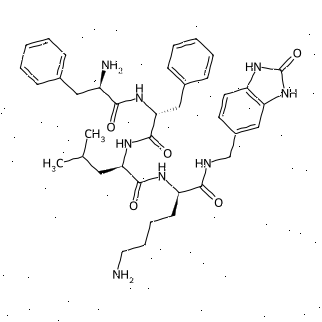 CC(C)C[C@@H](NC(=O)[C@@H](Cc1ccccc1)NC(=O)[C@H](N)Cc1ccccc1)C(=O)N[C@H](CCCCN)C(=O)NCc1ccc2[nH]c(=O)[nH]c2c1